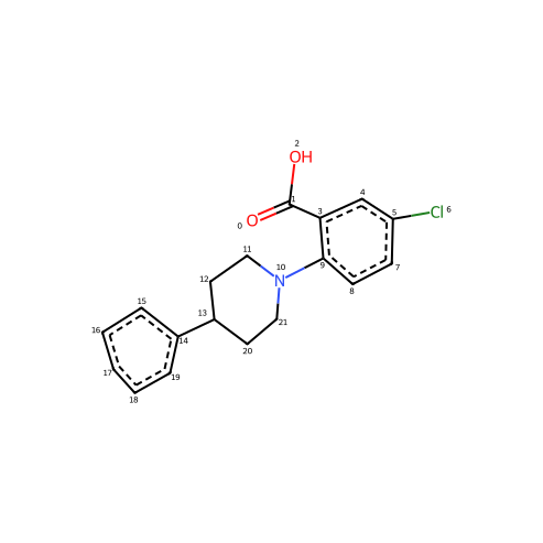 O=C(O)c1cc(Cl)ccc1N1CCC(c2ccccc2)CC1